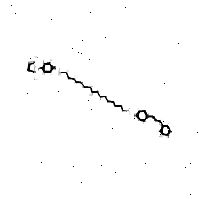 O=C(C=Cc1ccc(OCCCCCCCCCCCCCCCCCCOc2ccc(N3C(=O)C=CC3=O)cc2)cc1)c1ccc(F)cc1